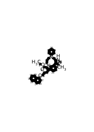 CCOC(=O)c1c(CCCOc2cccc3ccccc23)c2cccc3c2n1CCCN(c1ccccc1)Cc1[nH]nc(C)c1-3